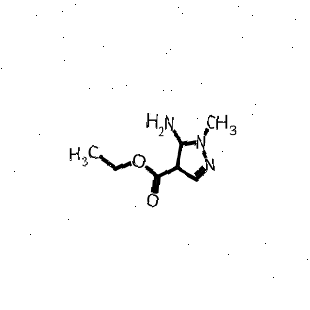 CCOC(=O)C1C=NN(C)C1N